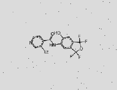 CCc1cnccc1C(=O)Nc1cc2c(cc1O)C(F)(F)OC2(F)F